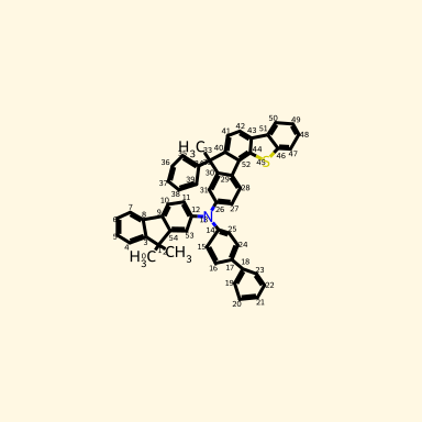 CC1(C)c2ccccc2-c2ccc(N(c3ccc(-c4ccccc4)cc3)c3ccc4c(c3)C(C)(c3ccccc3)c3ccc5c(sc6ccccc65)c3-4)cc21